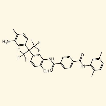 Cc1ccc(C)c(NC(=O)c2ccc(C(=O)Nc3cc(C(c4ccc(C)c(N)c4)(C(F)(F)F)C(F)(F)F)ccc3O)cc2)c1